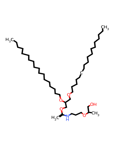 C=C(NCCCOC(C)CO)OCC(COCCCCCCCCCCCCCCCCCC)OCCCCCCCCCCCCCCCCCC